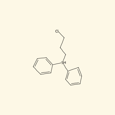 ClCCC[SH](c1ccccc1)c1ccccc1